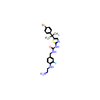 CC(C)(c1ccc(Br)cc1)c1cnc(NC(=O)NCc2ccc(NCCN)c(F)c2)s1